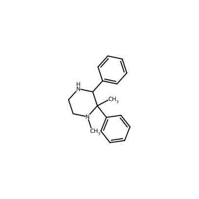 CN1CCNC(c2ccccc2)C1(C)c1ccccc1